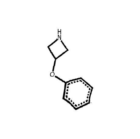 [c]1ccc(OC2CNC2)cc1